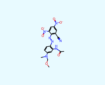 COCN(C)c1ccc(/N=N/c2c(C#N)cc([N+](=O)[O-])cc2[N+](=O)[O-])c(NC(C)=O)c1